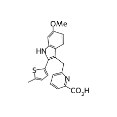 COc1ccc2c(Cc3cccc(C(=O)O)n3)c(-c3ccc(C)s3)[nH]c2c1